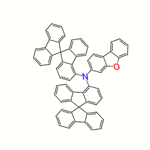 c1ccc2c(c1)-c1ccccc1C21c2ccccc2-c2c(N(c3ccc4c(c3)oc3ccccc34)c3cccc4c3-c3ccccc3C43c4ccccc4-c4ccccc43)cccc21